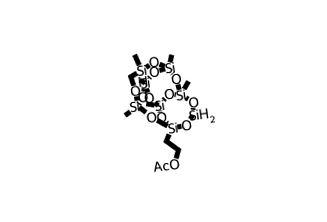 CC(=O)OCC[Si]12O[SiH2]O[Si]3(C)O[Si]4(C)O[SiH](C)CO[Si](C)(O[Si](C)(O4)O[Si](C)(O3)O1)O2